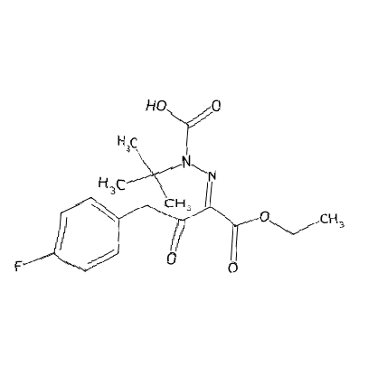 CCOC(=O)C(=NN(C(=O)O)C(C)(C)C)C(=O)Cc1ccc(F)cc1